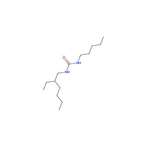 CCCCCNC(=O)NCC(CC)CCCC